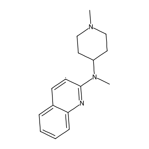 CN1CCC(N(C)c2[c]cc3ccccc3n2)CC1